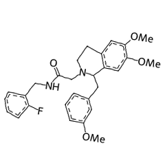 COc1cccc(CC2c3cc(OC)c(OC)cc3CCN2CC(=O)NCc2ccccc2F)c1